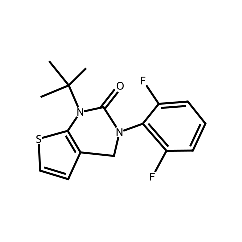 CC(C)(C)N1C(=O)N(c2c(F)cccc2F)Cc2ccsc21